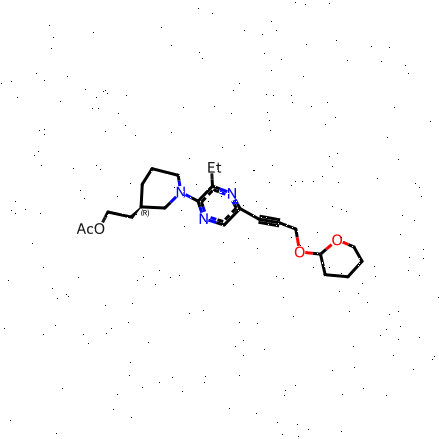 CCc1nc(C#CCOC2CCCCO2)cnc1N1CCC[C@H](CCOC(C)=O)C1